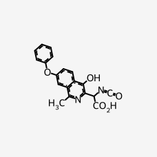 Cc1nc(C(N=C=O)C(=O)O)c(O)c2ccc(Oc3ccccc3)cc12